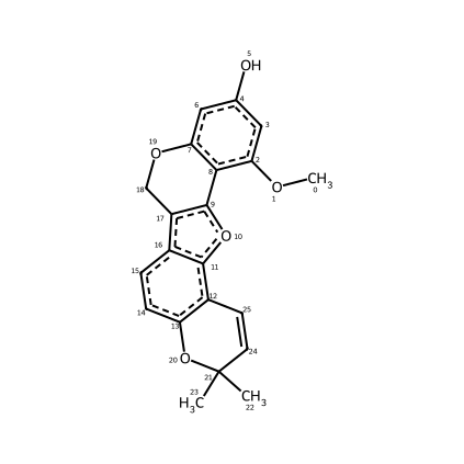 COc1cc(O)cc2c1-c1oc3c4c(ccc3c1CO2)OC(C)(C)C=C4